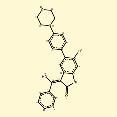 O=C1Nc2cc(Cl)c(-c3ccc(N4CCOCC4)cc3)cc2C1=C(O)c1cccnc1